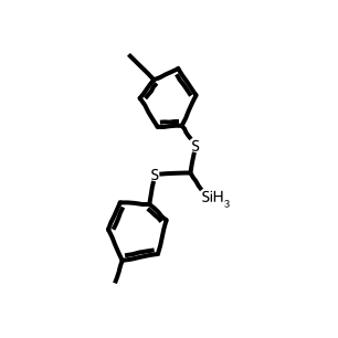 Cc1ccc(SC([SiH3])Sc2ccc(C)cc2)cc1